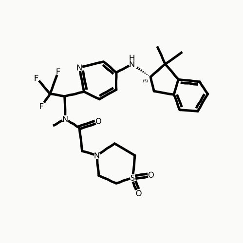 CN(C(=O)CN1CCS(=O)(=O)CC1)C(c1ccc(N[C@H]2Cc3ccccc3C2(C)C)cn1)C(F)(F)F